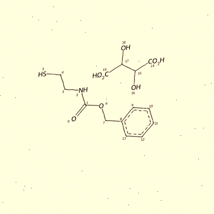 O=C(NCCS)OCc1ccccc1.O=C(O)C(O)C(O)C(=O)O